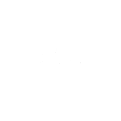 CCOC(=O)C1CN(C(=O)OC(C)(C)C)CCS1(=O)=O